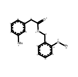 CCCCc1cccc(CC(=O)OCc2ccccc2OC(C)C)c1